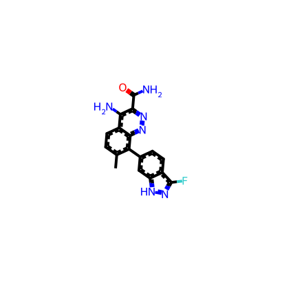 Cc1ccc2c(N)c(C(N)=O)nnc2c1-c1ccc2c(F)n[nH]c2c1